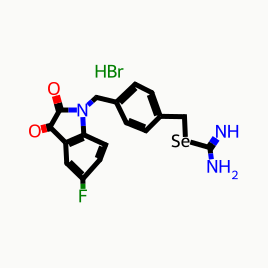 Br.N=C(N)[Se]Cc1ccc(CN2C(=O)C(=O)c3cc(F)ccc32)cc1